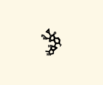 CC(C)Nc1nc2c(-c3cc4c([nH]3)C(C)NC4)c(F)ccc2c(=O)n1C1CC1